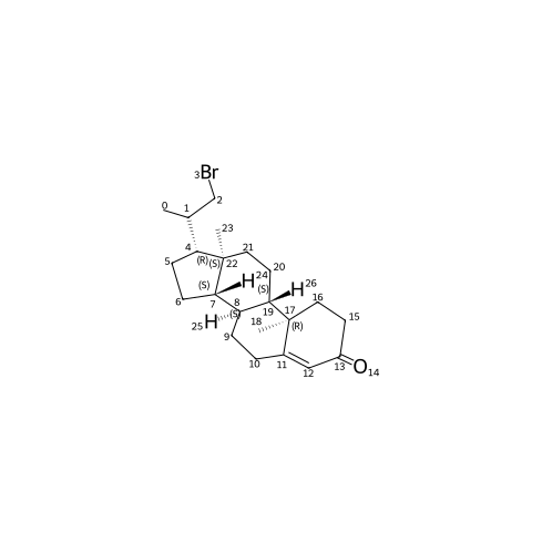 CC(CBr)[C@H]1CC[C@H]2[C@@H]3CCC4=CC(=O)CC[C@]4(C)[C@H]3CC[C@]12C